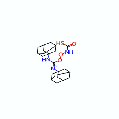 O=C(S)NOO/C(=N\C12CC3CC(CC(C3)C1)C2)NC12CC3CC(CC(C3)C1)C2